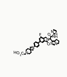 O=C(O)CN1CCC2(CC1)CN(c1ccc(-c3cc(F)c4c(c3)C(=O)N(C(C(=O)Nc3nccs3)c3ncn5c3CCC5)C4)cc1)C2